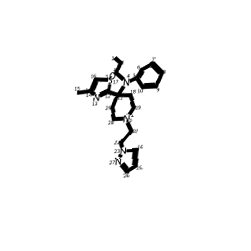 CCC(=O)N(c1ccccc1)C1(c2nc(C)cs2)CC[N+](CCn2cccn2)CC1